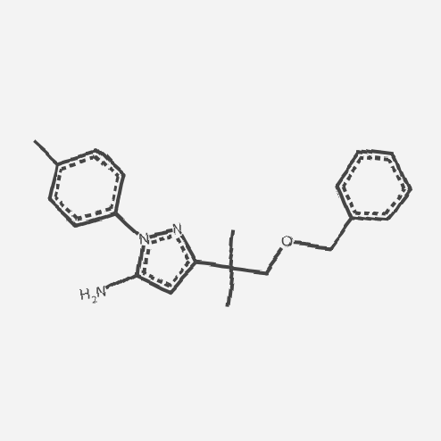 Cc1ccc(-n2nc(C(C)(C)COCc3ccccc3)cc2N)cc1